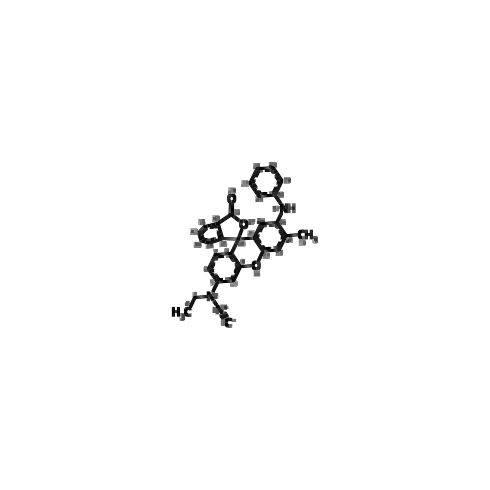 [C-]#[N+]N(CC)c1ccc2c(c1)Oc1cc(C)c(Nc3ccccc3)cc1C21OC(=O)c2ccccc21